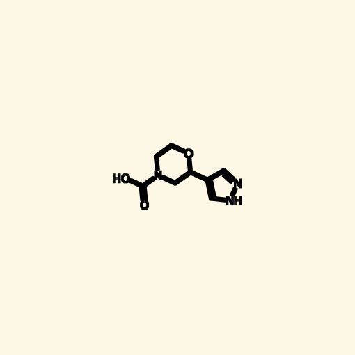 O=C(O)N1CCOC(c2cn[nH]c2)C1